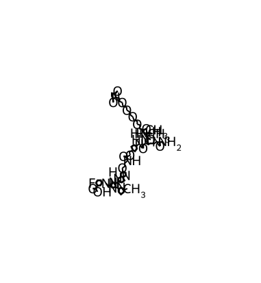 Cc1cccc(-c2nc(CNc3ccc(F)c(C(=O)O)c3)[nH]c2-c2ccc3ncc(OCCNC(=O)OCc4ccc(NC(=O)C(CCCNC(N)=O)NC(=O)C(NC(=O)CCOCCOCCOCCOCCN5C(=O)C=CC5=O)C(C)C)cc4)cc3n2)n1